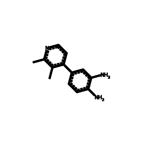 Cc1nccc(-c2ccc(N)c(N)c2)c1C